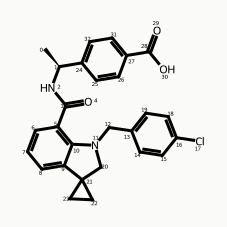 C[C@H](NC(=O)c1cccc2c1N(Cc1ccc(Cl)cc1)CC21CC1)c1ccc(C(=O)O)cc1